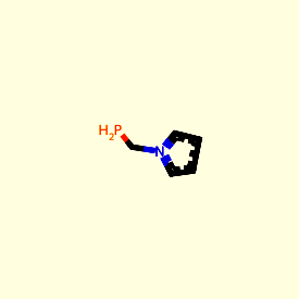 PCn1cccc1